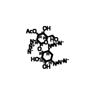 CC(=O)O[C@H]1[C@H](O)[C@@H](CO)O[C@H](O[C@H]2[C@@H](O)[C@@H](O)[C@H](N=[N+]=[N-])C[C@@H]2N=[N+]=[N-])[C@@H]1N=[N+]=[N-]